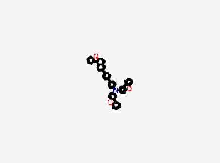 C1=C2Oc3ccccc3C2CC(N(c2ccc(-c3ccc(-c4ccc5c(ccc6oc7ccccc7c65)c4)cc3)cc2)c2ccc3oc4ccccc4c3c2)=C1